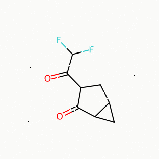 O=C(C(F)F)C1CC2CC2C1=O